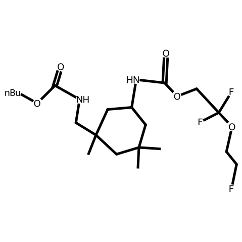 CCCCOC(=O)NCC1(C)CC(NC(=O)OCC(F)(F)OCCF)CC(C)(C)C1